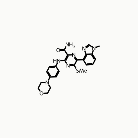 CSc1nc(Nc2ccc(N3CCOCC3)cc2)c(C(N)=O)nc1-c1cccc2c1ncn2C